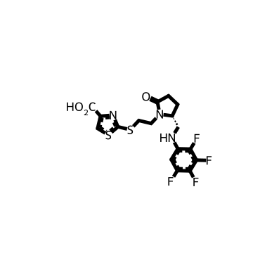 O=C(O)c1csc(SCCN2C(=O)CC[C@@H]2CNc2cc(F)c(F)c(F)c2F)n1